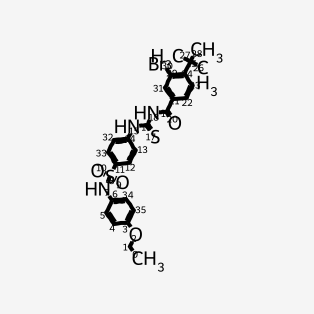 CCOc1ccc(NS(=O)(=O)c2ccc(NC(=S)NC(=O)c3ccc(C(C)(C)C)c(Br)c3)cc2)cc1